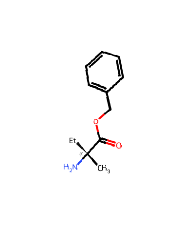 CC[C@@](C)(N)C(=O)OCc1ccccc1